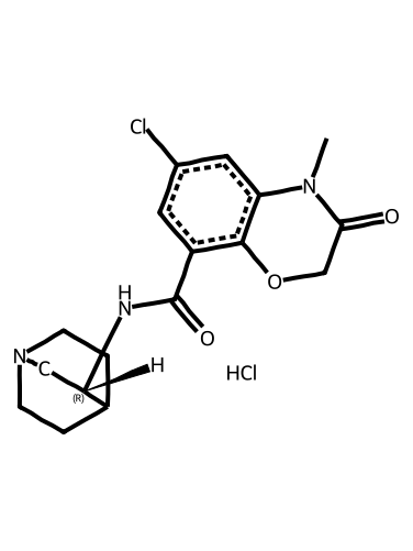 CN1C(=O)COc2c(C(=O)N[C@H]3CN4CCC3CC4)cc(Cl)cc21.Cl